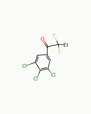 CCC(F)(F)C(=O)c1cc(Cl)c(Cl)c(Cl)c1